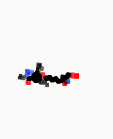 CC(=O)N(N)C(=O)c1cc(C)c(OCCCCCc2cc(CO)no2)c(C)c1